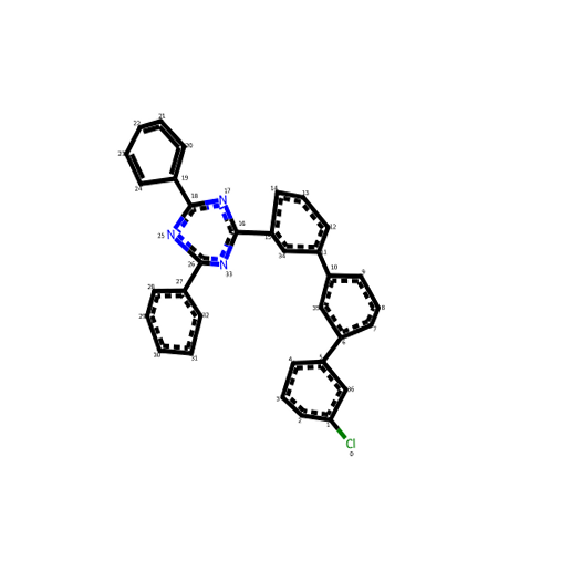 Clc1cccc(-c2cccc(-c3cccc(-c4nc(C5=C=C=CC=C5)nc(-c5ccccc5)n4)c3)c2)c1